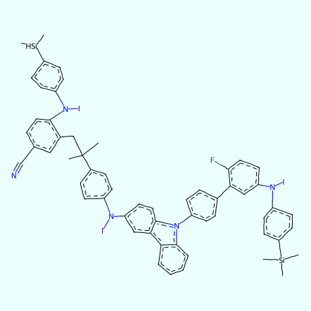 C[SiH](C)c1ccc(N(I)c2ccc(C#N)cc2CC(C)(C)c2ccc(N(I)c3ccc4c(c3)c3ccccc3n4-c3ccc(-c4cc(N(I)c5ccc([Si](C)(C)C)cc5)ccc4F)cc3)cc2)cc1